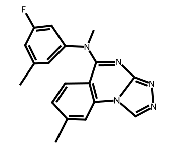 Cc1cc(F)cc(N(C)c2nc3nncn3c3cc(C)ccc23)c1